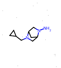 NN1CC2CC1CN2CC1CC1